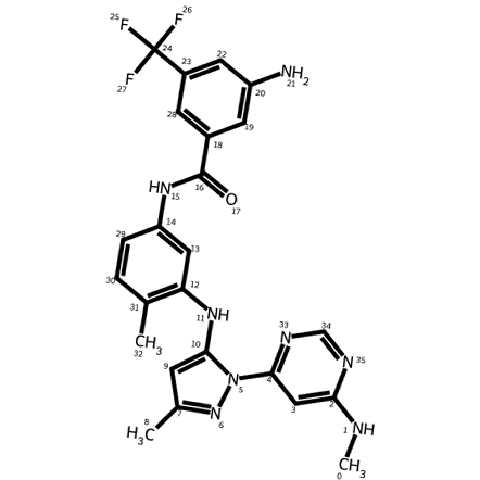 CNc1cc(-n2nc(C)cc2Nc2cc(NC(=O)c3cc(N)cc(C(F)(F)F)c3)ccc2C)ncn1